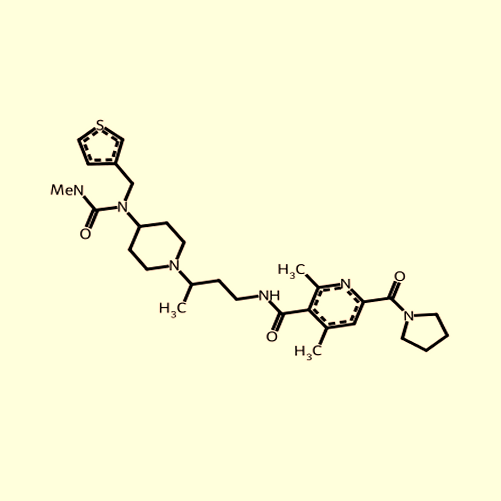 CNC(=O)N(Cc1ccsc1)C1CCN(C(C)CCNC(=O)c2c(C)cc(C(=O)N3CCCC3)nc2C)CC1